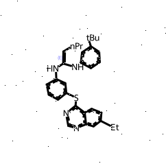 CCC/C=C(/Nc1cccc(Sc2ncnc3cc(CC)ccc23)c1)Nc1cccc(C(C)(C)C)c1